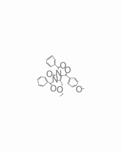 CCOCc1c(C(=O)c2ccc(OC)cc2)n(C(=O)c2ccccc2)c(=O)n1C(=O)c1ccccc1